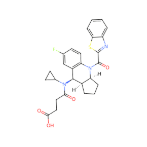 O=C(O)CCC(=O)N(C1CC1)[C@H]1c2cc(F)ccc2N(C(=O)c2nc3ccccc3s2)[C@H]2CCC[C@H]21